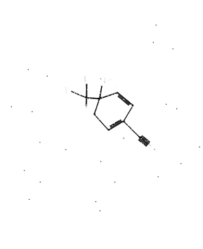 N#CC1=CCC(N)(C(F)(F)F)C=C1